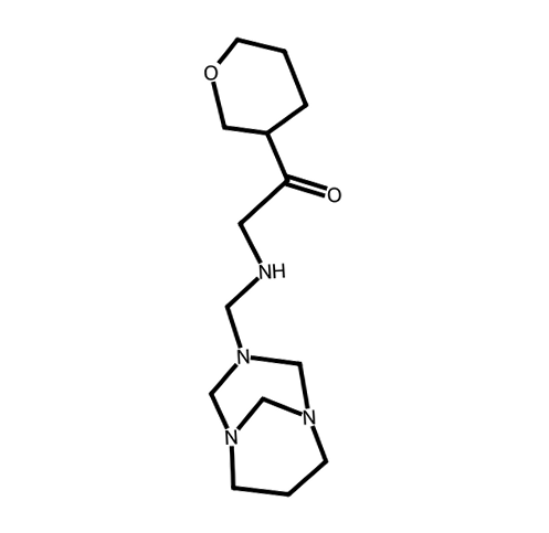 O=C(CNCN1CN2CCCN(C2)C1)C1CCCOC1